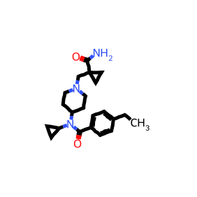 CCc1ccc(C(=O)N(C2CC2)C2CCN(CC3(C(N)=O)CC3)CC2)cc1